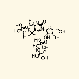 Nc1nc(=O)n([C@@H]2O[C@H](CO)[C@@H](O)[C@H]2O)cc1C(F)(F)F.O=P(O)(O)O.O=P(O)(O)O.O=P(O)(O)O